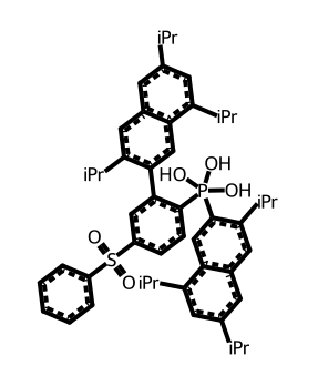 CC(C)c1cc(C(C)C)c2cc(-c3cc(S(=O)(=O)c4ccccc4)ccc3P(O)(O)(O)c3cc4c(C(C)C)cc(C(C)C)cc4cc3C(C)C)c(C(C)C)cc2c1